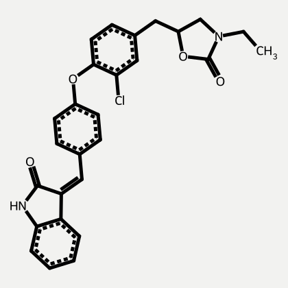 CCN1CC(Cc2ccc(Oc3ccc(/C=C4\C(=O)Nc5ccccc54)cc3)c(Cl)c2)OC1=O